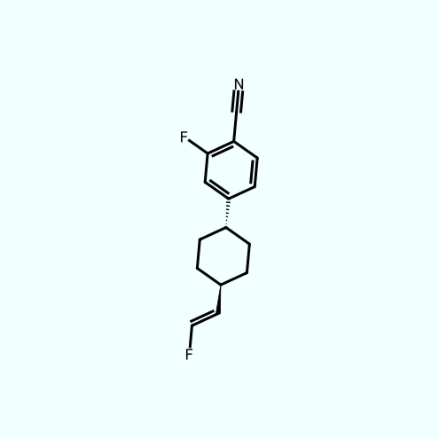 N#Cc1ccc([C@H]2CC[C@H](C=CF)CC2)cc1F